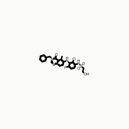 Cc1c(Nc2c(F)ccc(NS(=O)(=O)CCO)c2Cl)ccc2ncn(Cc3ccccc3)c(=O)c12